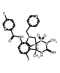 CN1C(=N)N[C@](C)(c2cc(NC(=O)c3ccc(F)cn3)ccc2F)[C@@]2(CCN(Cc3ccncc3)C2)S1(=O)=O